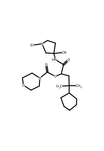 CCN1CCC(C#N)(NC(=O)C(CC(C)(C)C2CCCCC2)OC(=O)N2CCOCC2)C1